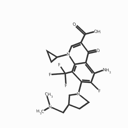 CN(C)CC1CCN(c2c(F)c(N)c3c(=O)c(C(=O)O)cn(C4CC4)c3c2C(F)(F)F)C1